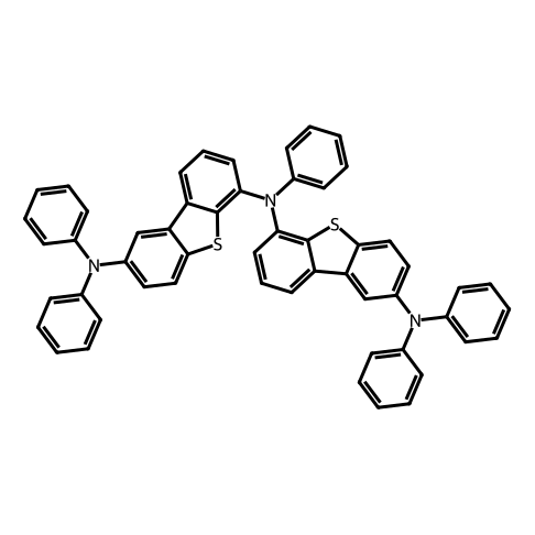 c1ccc(N(c2ccccc2)c2ccc3sc4c(N(c5ccccc5)c5cccc6c5sc5ccc(N(c7ccccc7)c7ccccc7)cc56)cccc4c3c2)cc1